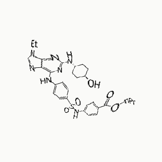 CCCOC(=O)c1ccc(NS(=O)(=O)c2ccc(Nc3nc(N[C@H]4CC[C@H](O)CC4)nc4c3ncn4CC)cc2)cc1